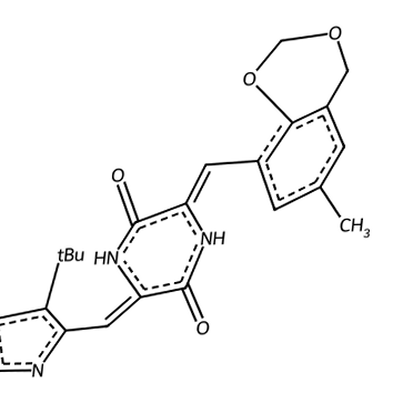 Cc1cc(/C=c2\[nH]c(=O)/c(=C/c3ncoc3C(C)(C)C)[nH]c2=O)c2c(c1)COCO2